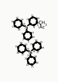 CC(C)=O.c1ccc(N(c2ccccc2)c2ccccc2)cc1.c1ccc(N(c2ccccc2)c2ccccc2)cc1